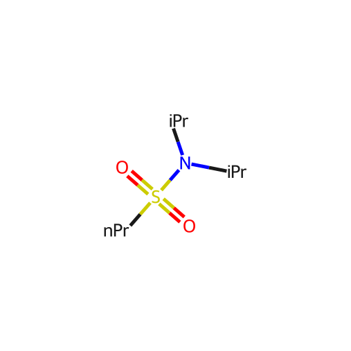 CCCS(=O)(=O)N(C(C)C)C(C)C